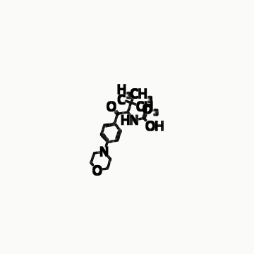 CC(C)(C)C(NC(=O)O)C(=O)c1ccc(N2CCOCC2)cc1